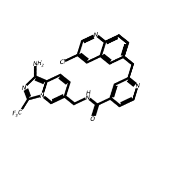 Nc1nc(C(F)(F)F)n2cc(CNC(=O)c3ccnc(Cc4ccc5ncc(Cl)cc5c4)c3)ccc12